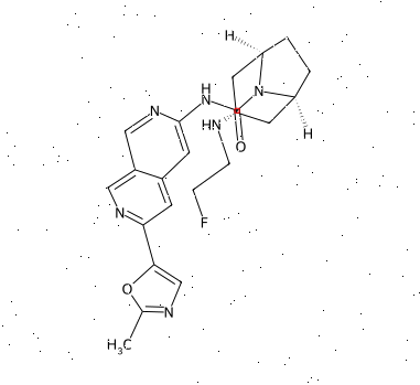 Cc1ncc(-c2cc3cc(NC(=O)N4[C@@H]5CC[C@H]4C[C@H](NCCF)C5)ncc3cn2)o1